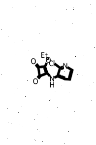 CCOc1c(Nc2cccnc2Cl)c(=O)c1=O